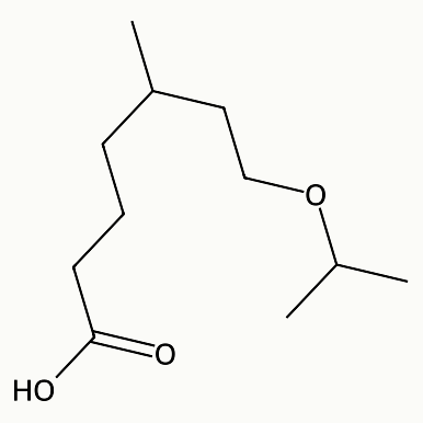 CC(CCCC(=O)O)CCOC(C)C